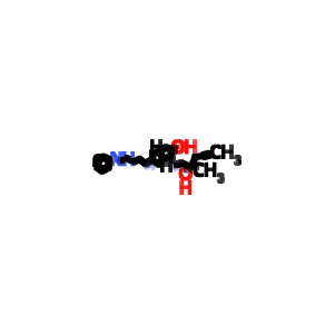 CC#CC[C@H](C)[C@H](O)/C=C/[C@@H]1[C@H]2C/C(=C/CCCCNc3ccccc3)C[C@H]2C[C@H]1O